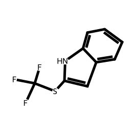 FC(F)(F)Sc1cc2ccccc2[nH]1